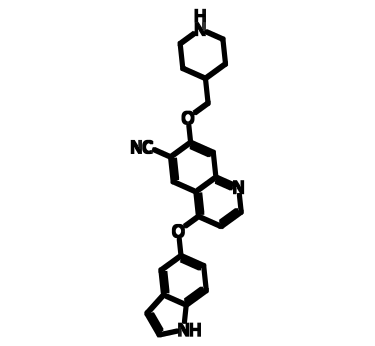 N#Cc1cc2c(Oc3ccc4[nH]ccc4c3)ccnc2cc1OCC1CCNCC1